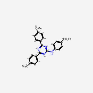 CCOC(=O)c1ccc(Nc2nc(-c3ccc(OC)cc3)nc(-c3ccc(OC)cc3)n2)cc1